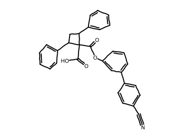 N#Cc1ccc(-c2cccc(OC(=O)C3(C(=O)O)C(c4ccccc4)CC3c3ccccc3)c2)cc1